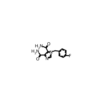 NC(=O)c1ncn(Cc2ccc(F)cc2)c1C(N)=O